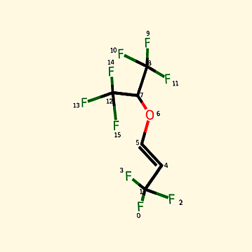 FC(F)(F)C=COC(C(F)(F)F)C(F)(F)F